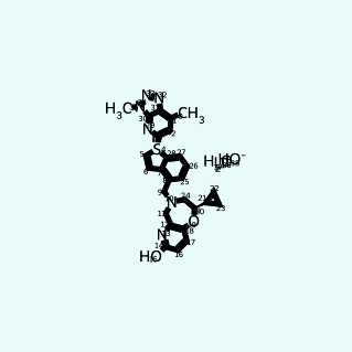 Cc1[c]c([SH]2C=Cc3c(CN4Cc5nc(O)ccc5O[C@H](C5CC5)C4)cccc32)nc2c1nnn2C.O.[Li+].[OH-]